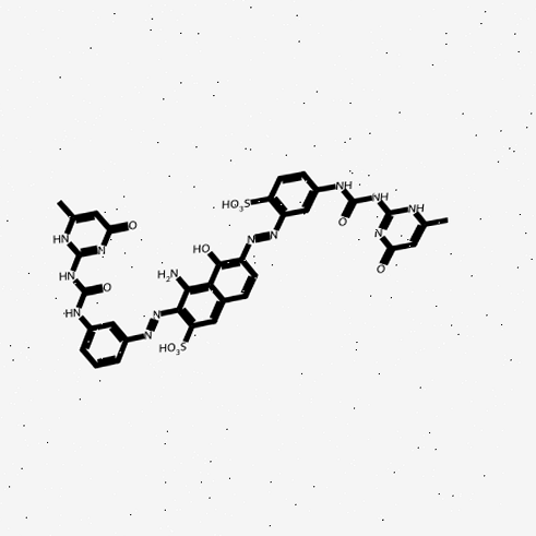 Cc1cc(=O)nc(NC(=O)Nc2cccc(/N=N/c3c(S(=O)(=O)O)cc4ccc(/N=N/c5cc(NC(=O)Nc6nc(=O)cc(C)[nH]6)ccc5S(=O)(=O)O)c(O)c4c3N)c2)[nH]1